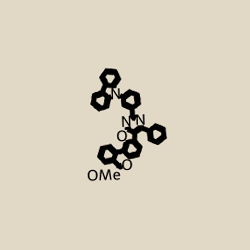 COC(=O)c1ccccc1-c1cccc2c1oc1nc(-c3cccc(-n4c5ccccc5c5ccccc54)c3)nc(-c3ccccc3)c12